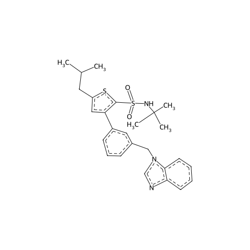 CC(C)Cc1cc(-c2cccc(Cn3cnc4ccccc43)c2)c(S(=O)(=O)NC(C)(C)C)s1